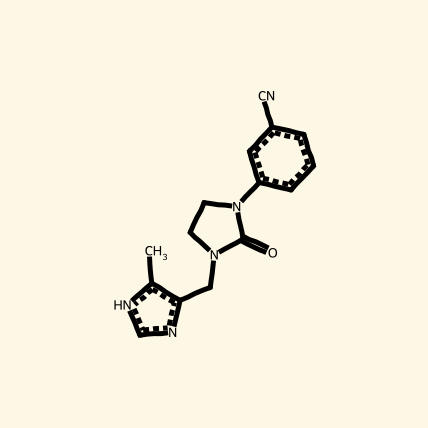 Cc1[nH]cnc1CN1CCN(c2cccc(C#N)c2)C1=O